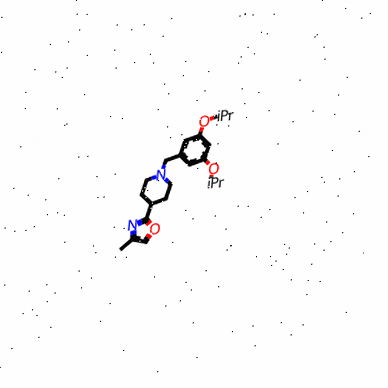 Cc1coc(C2CCN(Cc3cc(OC(C)C)cc(OC(C)C)c3)CC2)n1